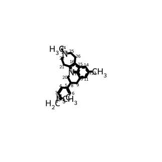 C=C(C)/C=C\C(=C/C)C1Cc2cc(C)cc3c4c(n(c23)C1)CCN(C)CC4